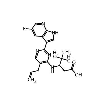 C=CCc1cnc(-c2c[nH]c3ncc(F)cc23)nc1N[C@H](CC(=O)O)C(C)(C)C